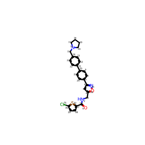 O=C(NCc1cc(-c2ccc(-c3ccc(CN4CCCC4)cc3)cc2)no1)c1ccc(Cl)s1